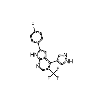 Fc1ccc(-c2cc3c(-c4cn[nH]c4)c(C(F)(F)F)cnc3[nH]2)cc1